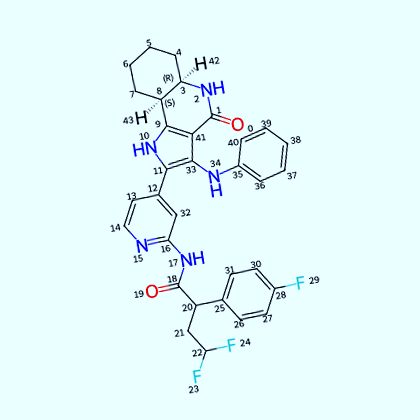 O=C1N[C@@H]2CCCC[C@@H]2c2[nH]c(-c3ccnc(NC(=O)C(CC(F)F)c4ccc(F)cc4)c3)c(Nc3ccccc3)c21